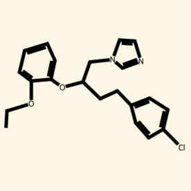 CCOc1ccccc1OC(CCc1ccc(Cl)cc1)Cn1ccnc1